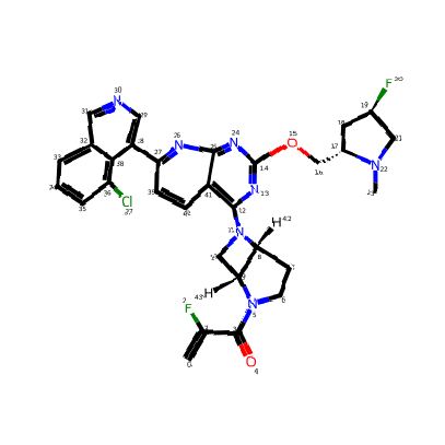 C=C(F)C(=O)N1CC[C@@H]2[C@H]1CN2c1nc(OC[C@@H]2C[C@@H](F)CN2C)nc2nc(-c3cncc4cccc(Cl)c34)ccc12